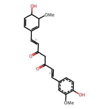 COc1cc(/C=C/C(=O)CC(=O)/C=C/C2=CC(OC)C(O)C=C2)ccc1O